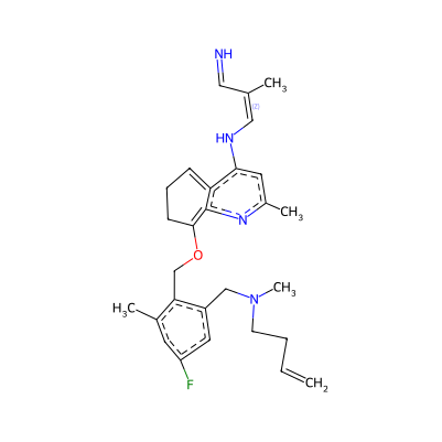 C=CCCN(C)Cc1cc(F)cc(C)c1COC1=c2nc(C)cc(N/C=C(/C)C=N)c2=CCC1